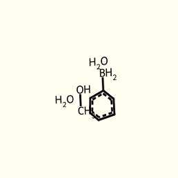 Bc1ccccc1.CO.O.O